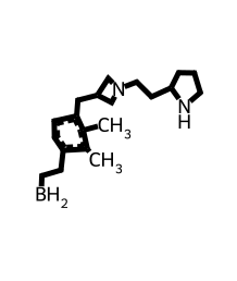 BCCc1ccc(CC2CN(CCC3CCCN3)C2)c(C)c1C